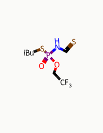 CCC(C)SP(=O)(NC=S)OCC(F)(F)F